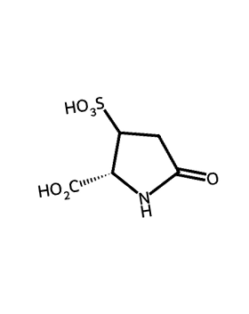 O=C1CC(S(=O)(=O)O)[C@@H](C(=O)O)N1